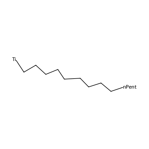 CCCCCCCCCCCCC[CH2][Ti]